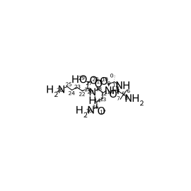 C[C@H](NC(=O)C(C)(C)N)C(=O)N[C@@H](CCC(N)=O)C(=O)N[C@@H](CCCCN)C(=O)O